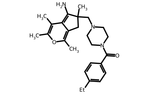 CCc1ccc(C(=O)N2CCN(CC3(C)CC4=C(C)OC(C)=C(C)C4=C3N)CC2)cc1